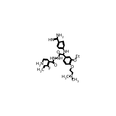 C=C/C(F)=C(\C=C/N)C(=O)NNC(=O)C(Nc1ccc(C(=N)N)cc1)c1ccc(OCCN(C)C)c(OCC)c1